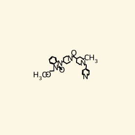 COCCn1c(=O)n(C2CCN(C(=O)C3CCN(Cc4ccncc4)C(C)C3)CC2)c2ccccc21